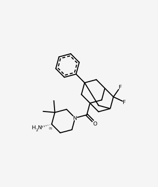 CC1(C)CN(C(=O)C23CC4CC(c5ccccc5)(CC(C2)C4(F)F)C3)CC[C@@H]1N